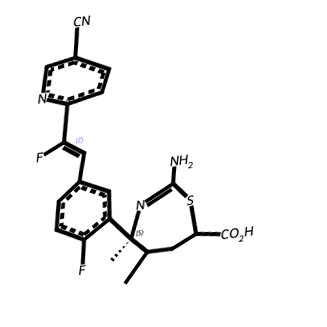 CC1CC(C(=O)O)SC(N)=N[C@]1(C)c1cc(/C=C(\F)c2ccc(C#N)cn2)ccc1F